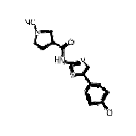 N#CN1CCC(C(=O)Nc2ncc(-c3ccc(Cl)cc3)s2)C1